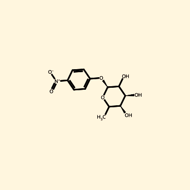 CC1O[C@@H](Oc2ccc([N+](=O)[O-])cc2)C(O)[C@@H](O)[C@H]1O